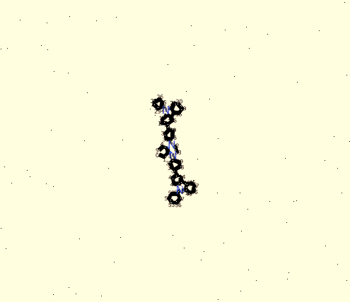 C=CC1=C(C=C)N(c2ccc(-c3ccc4c(c3)c3ccccc3n4-c3ccccc3)cc2)CCN1c1ccc(-c2ccc3c(c2)c2ccccc2n3-c2ccccc2)cc1